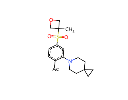 CC(=O)c1ccc(S(=O)(=O)C2(C)COC2)cc1N1CCC2(CC1)CC2